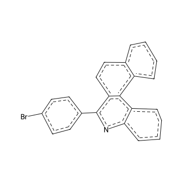 Brc1ccc(-c2nc3ccccc3c3c2ccc2ccccc23)cc1